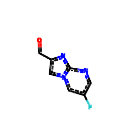 O=Cc1cn2cc(F)cnc2n1